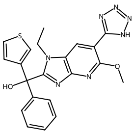 CCn1c(C(O)(c2ccccc2)c2ccsc2)nc2nc(OC)c(-c3nnn[nH]3)cc21